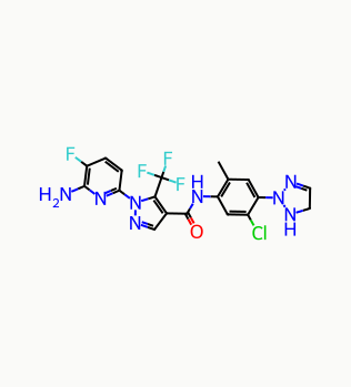 Cc1cc(N2N=CCN2)c(Cl)cc1NC(=O)c1cnn(-c2ccc(F)c(N)n2)c1C(F)(F)F